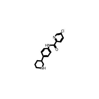 O=C(Nc1ccc(C2CCCNC2)cc1)c1ccc(Cl)cn1